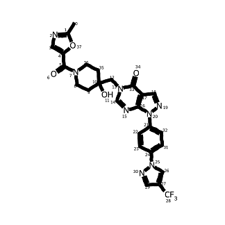 Cc1ncc(C(=O)N2CCC(O)(Cn3cnc4c(cnn4-c4ccc(-n5cc(C(F)(F)F)cn5)cc4)c3=O)CC2)o1